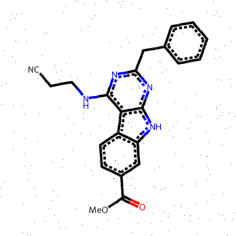 COC(=O)c1ccc2c(c1)[nH]c1nc(Cc3ccccc3)nc(NCCC#N)c12